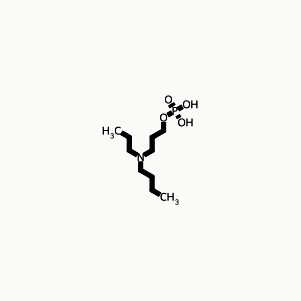 CCCCN(CCC)CCCOP(=O)(O)O